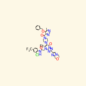 CCc1c(N2CCN(C(=O)c3ncnc(C)c3OCc3ccccc3)CC2)c(=O)n2nc(-c3cn4c(n3)COCC4)nc2n1CC(=O)Nc1ccc(C(F)(F)F)cc1Cl